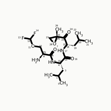 CC(C)C[C@H](NC(=O)[C@@H](N)COC(F)F)C(=O)N[C@@H](CC(C)C)C(=O)[C@@]1(C)CO1